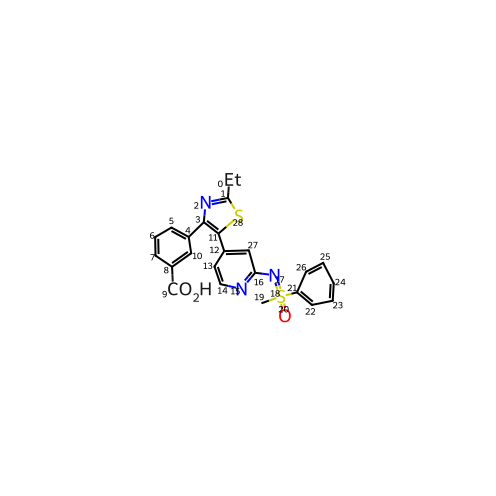 CCc1nc(-c2cccc(C(=O)O)c2)c(-c2ccnc(N=S(C)(=O)c3ccccc3)c2)s1